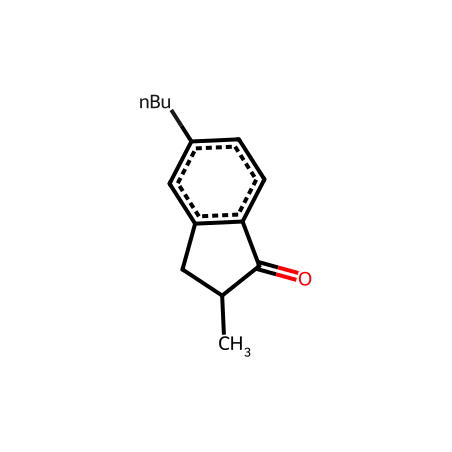 CCCCc1ccc2c(c1)CC(C)C2=O